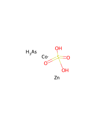 O=S(=O)(O)O.[AsH3].[Co].[Zn]